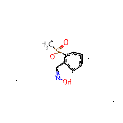 CS(=O)(=O)c1ccccc1/C=N\O